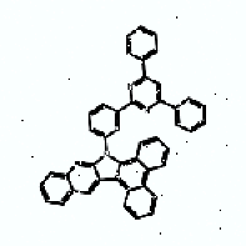 c1ccc(-c2cc(-c3ccccc3)nc(-c3cccc(-n4c5cc6ccccc6cc5c5c6ccccc6c6ccccc6c54)c3)n2)cc1